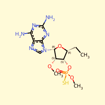 CC[C@H]1O[C@@H](n2cnc3c(N)nc(N)nc32)[C@@H](OC)[C@H]1OP(=O)(S)OC